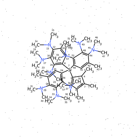 CC1=C(C)C(C)C([Si](c2cc(C)c(N(C)C)c(N(C)C)c2N(C)C)(c2cc(C)c(N(C)C)c(N(C)C)c2N(C)C)c2cc(C)c(N(C)C)c(N(C)C)c2N(C)C)=C1C